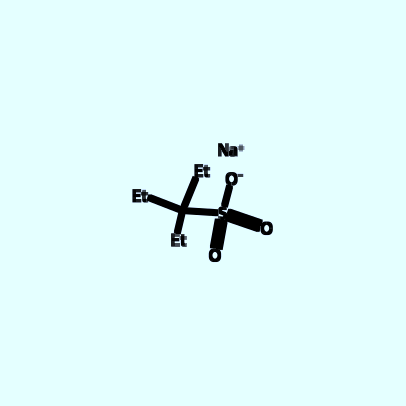 CCC(CC)(CC)S(=O)(=O)[O-].[Na+]